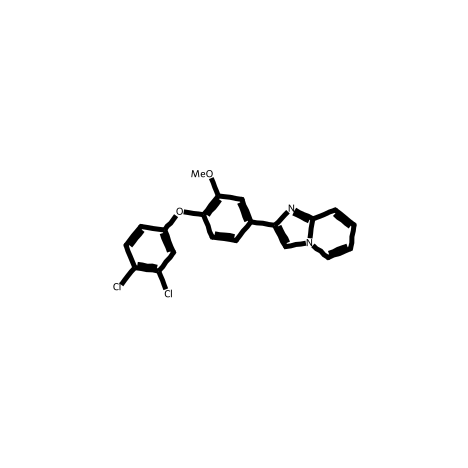 COc1cc(-c2cn3ccccc3n2)ccc1Oc1ccc(Cl)c(Cl)c1